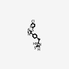 Cn1cnc(-c2ccc([C@H]3CC3c3n[nH]c(=S)[nH]3)cc2)c1Sc1ccc(Cl)cn1